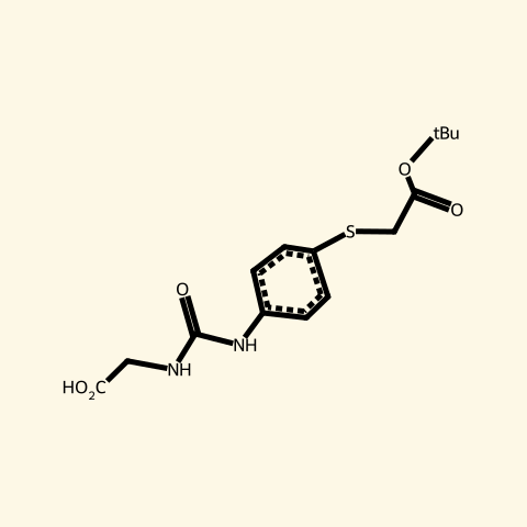 CC(C)(C)OC(=O)CSc1ccc(NC(=O)NCC(=O)O)cc1